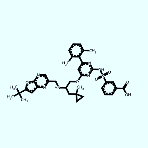 Cc1cccc(C)c1-c1cc(OCC(CC2(C)CC2)NCc2cnc3oc(C(C)(C)C)cc3n2)nc(NS(=O)(=O)c2cccc(C(=O)O)c2)n1